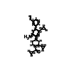 C=Cc1cncc(-c2cc(N)c(N3CCN(C(=O)C4CC4)[C@H](C4CC4)C3)nc2C2CC2)n1